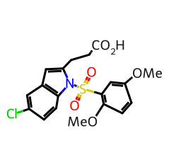 COc1ccc(OC)c(S(=O)(=O)n2c(CCC(=O)O)cc3cc(Cl)ccc32)c1